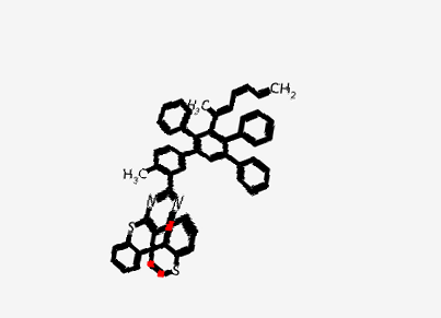 C=C/C=C\C=C(/C)c1c(-c2ccccc2)c(-c2ccccc2)cc(-c2ccc(C)c(-c3ncc4c(n3)Sc3ccccc3C43c4ccccc4Sc4ccccc43)c2)c1-c1ccccc1